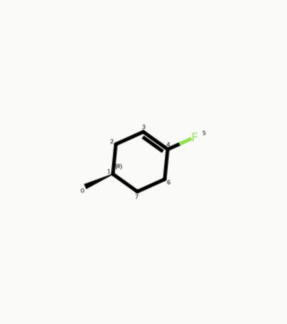 C[C@H]1CC=C(F)CC1